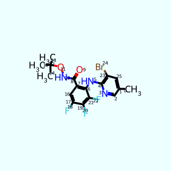 Cc1cnc(Nc2c(C(=O)NOC(C)(C)C)cc(F)c(F)c2F)c(Br)c1